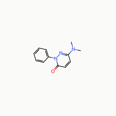 CN(C)c1ccc(=O)n(-c2ccccc2)n1